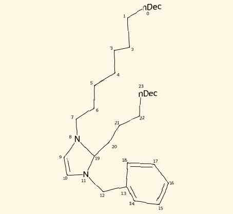 CCCCCCCCCCCCCCCCCN1C=CN(Cc2ccccc2)C1CCCCCCCCCCCCC